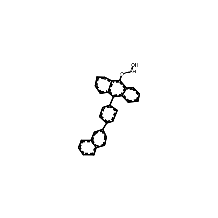 OBOc1c2ccccc2c(-c2ccc(-c3ccc4ccccc4c3)cc2)c2ccccc12